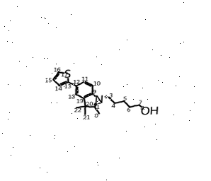 CC1=[N+](CCCCCO)c2ccc(-c3cccs3)cc2C1(C)C